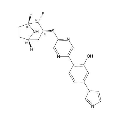 Oc1cc(-n2ccnc2)ccc1-c1cnc(S[C@H]2C[C@@H]3CC[C@@H](N3)[C@@H]2F)cn1